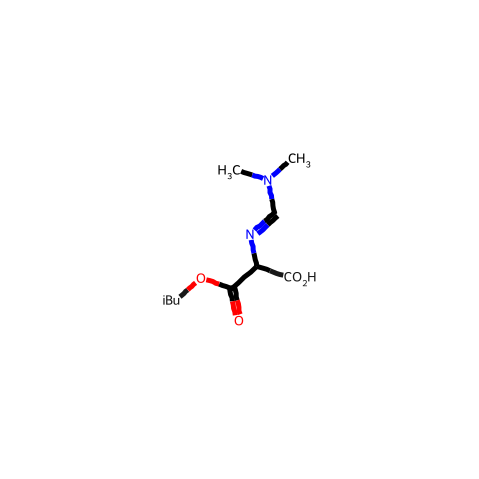 CCC(C)OC(=O)C(N=CN(C)C)C(=O)O